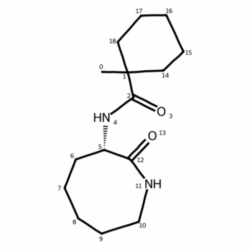 CC1(C(=O)N[C@H]2CCCCCNC2=O)CCCCC1